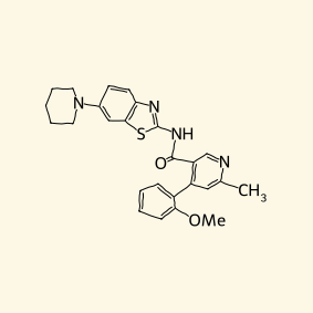 COc1ccccc1-c1cc(C)ncc1C(=O)Nc1nc2ccc(N3CCCCC3)cc2s1